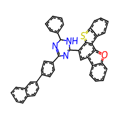 c1ccc(C2N=C(c3ccc(-c4ccc5ccccc5c4)cc3)N=C(c3cc4c5ccccc5oc4c4c3sc3ccccc34)N2)cc1